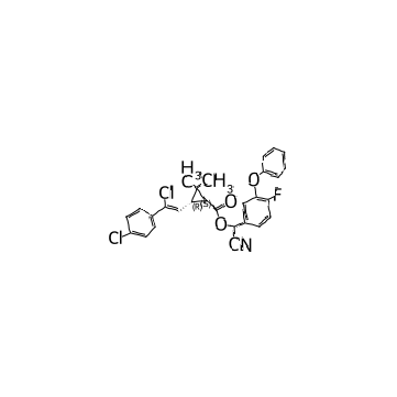 CC1(C)[C@@H](C=C(Cl)c2ccc(Cl)cc2)[C@@H]1C(=O)OC(C#N)c1ccc(F)c(Oc2ccccc2)c1